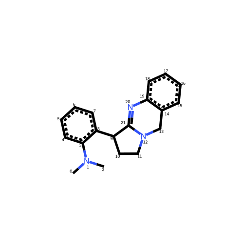 CN(C)c1ccccc1C1CCN2Cc3ccccc3N=C12